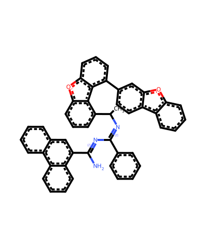 CC(/N=C(\N=C(/N)c1cc2ccccc2c2ccccc12)c1ccccc1)c1cccc2oc3cccc(-c4ccc5c(c4)oc4ccccc45)c3c12